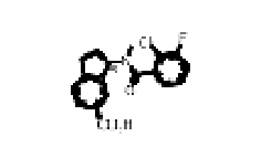 CN(C(=O)c1cccc(F)c1Cl)[C@@H]1CCc2ccc(C(=O)O)cc21